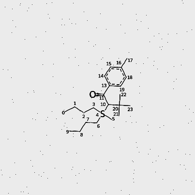 CCCCS(C)(CCCC)C(C(=O)c1ccc(C)cc1)C(C)(C)C